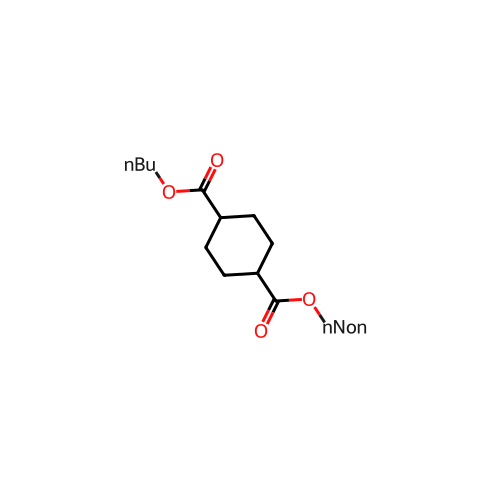 CCCCCCCCCOC(=O)C1CCC(C(=O)OCCCC)CC1